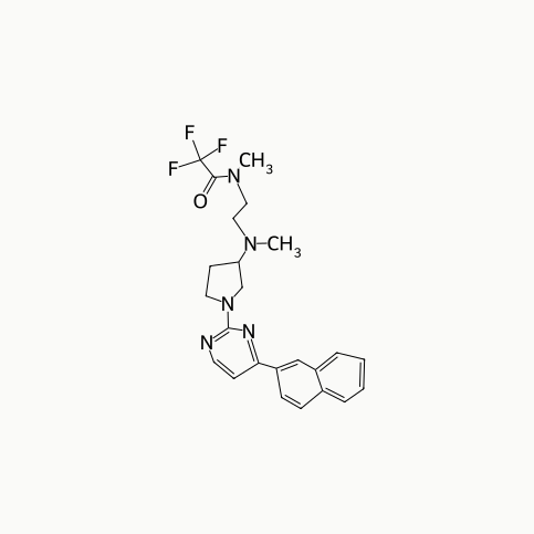 CN(CCN(C)C1CCN(c2nccc(-c3ccc4ccccc4c3)n2)C1)C(=O)C(F)(F)F